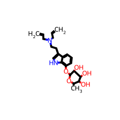 C=CCN(CC=C)CCc1c[nH]c2c(OC3OC(C)C(O)C(O)C3O)cccc12